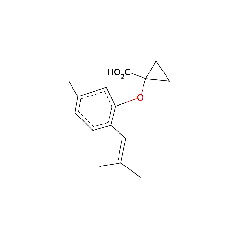 CC(C)=Cc1ccc(C)cc1OC1(C(=O)O)CC1